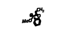 C=CC(=O)P(=O)(OC)c1ccccc1